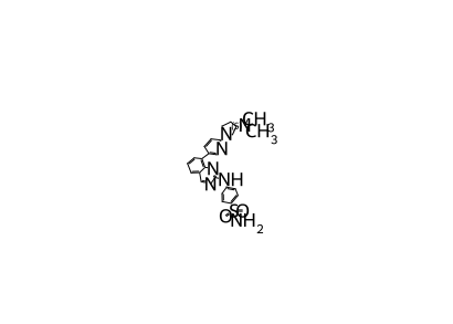 CN(C)[C@H]1CCN(c2ccc(-c3cccc4cnc(Nc5ccc(S(N)(=O)=O)cc5)nc34)cn2)C1